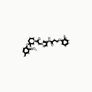 Cc1ccc(OC2(C)CCCN(C(=O)Cn3cc(NC(=O)CCOc4ccccc4F)cn3)C2)c([N+](=O)[O-])c1